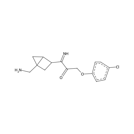 N=C(C(=O)COc1ccc(Cl)cc1)C1CC2(CN)CC12